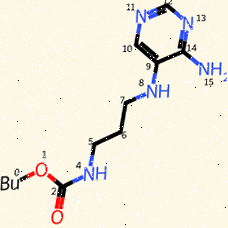 CC(C)(C)OC(=O)NCCCNc1cncnc1N